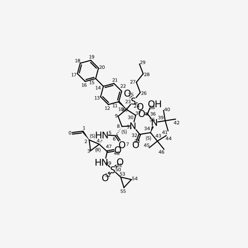 C=C[C@@H]1C[C@]1(NC(=O)[C@@H]1C[C@](c2ccc(-c3ccccc3)cc2)(S(=O)(=O)CCCC)CN1C(=O)[C@@H](N(C(=O)O)C(C)(C)C)C(C)(C)C)C(=O)NS(=O)(=O)C1CC1